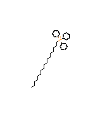 CCCCCCCCCCCCCCCCC[PH](c1ccccc1)(c1ccccc1)c1ccccc1